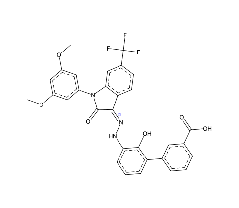 COc1cc(OC)cc(N2C(=O)/C(=N\Nc3cccc(-c4cccc(C(=O)O)c4)c3O)c3ccc(C(F)(F)F)cc32)c1